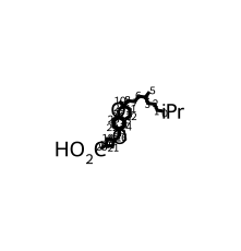 CC(C)CCCC(C)CCCC1(C)CCc2cc(OC3CC(C(=O)O)C3)ccc2O1